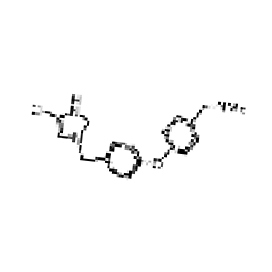 CNCc1ccc(Oc2ccc(CN3C=C(Cl)NC3)cc2)cc1